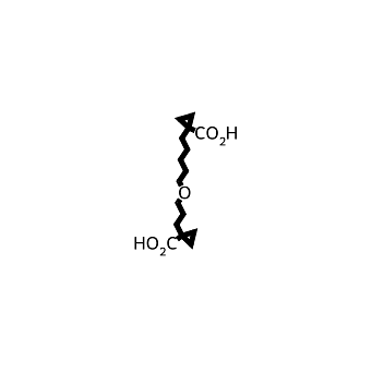 O=C(O)C1(CCCCCOCCCC2(C(=O)O)CC2)CC1